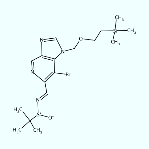 CC(C)(C)[S+]([O-])N=Cc1ncc2ncn(COCC[Si](C)(C)C)c2c1Br